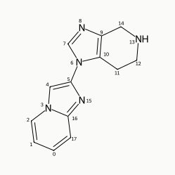 c1ccn2cc(-n3cnc4c3CCNC4)nc2c1